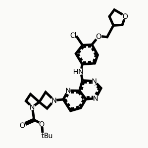 CC(C)(C)OC(=O)N1CCC12CN(c1ccc3ncnc(Nc4ccc(OCC5CCOC5)c(Cl)c4)c3n1)C2